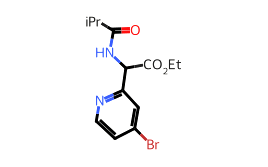 CCOC(=O)C(NC(=O)C(C)C)c1cc(Br)ccn1